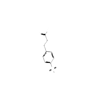 CC(=O)CCc1ccc(S(=O)(=O)O)cc1